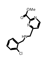 COC(=O)c1nccc(CNCc2ccccc2Cl)n1